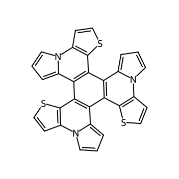 c1cc2c3c(c4sccc4n2c1)c1c(c2sccc2n2cccc12)c1c3c2sccc2n2cccc12